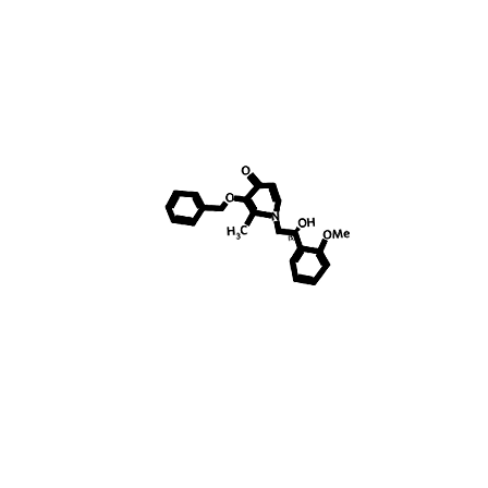 COc1ccccc1[C@H](O)Cn1ccc(=O)c(OCc2ccccc2)c1C